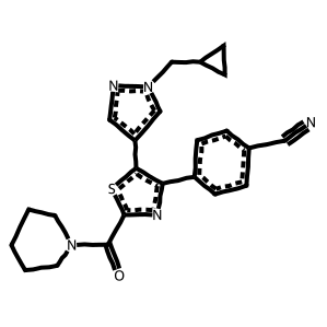 N#Cc1ccc(-c2nc(C(=O)N3CCCCC3)sc2-c2cnn(CC3CC3)c2)cc1